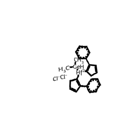 [CH3][GeH]([CH3])[Hf+2]([C]1=C(c2ccccc2)C=CC1)[C]1=C(c2ccccc2)C=CC1.[Cl-].[Cl-]